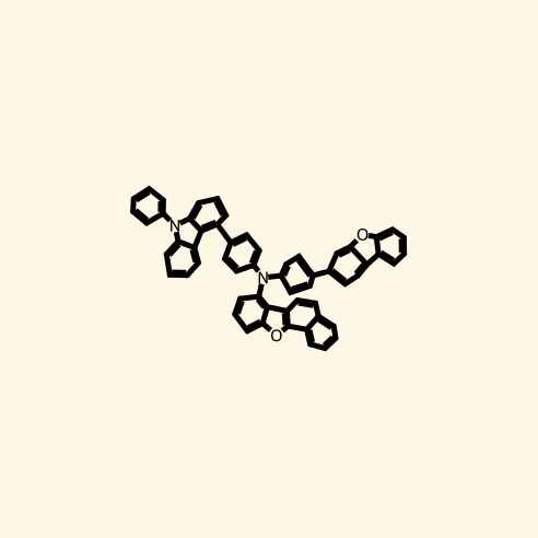 c1ccc(-n2c3ccccc3c3c(-c4ccc(N(c5ccc(-c6ccc7c(c6)oc6ccccc67)cc5)c5cccc6oc7c8ccccc8ccc7c56)cc4)cccc32)cc1